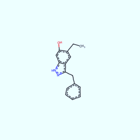 CCc1cc2c(Cc3ccccc3)n[nH]c2cc1O